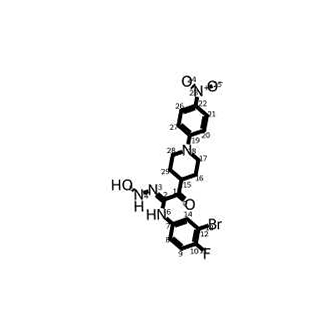 O=C(/C(=N/NO)Nc1ccc(F)c(Br)c1)C1CCN(c2ccc([N+](=O)[O-])cc2)CC1